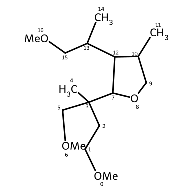 COCCC(C)(COC)C1OCC(C)C1C(C)COC